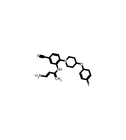 C=C(/C=C/N)Nc1cc(C#N)ccc1N1CCC(OC2C=CC(F)=CC2)CC1